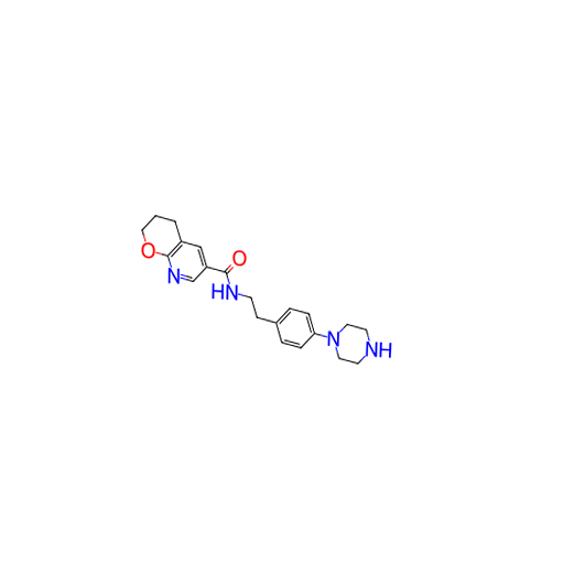 O=C(NCCc1ccc(N2CCNCC2)cc1)c1cnc2c(c1)CCCO2